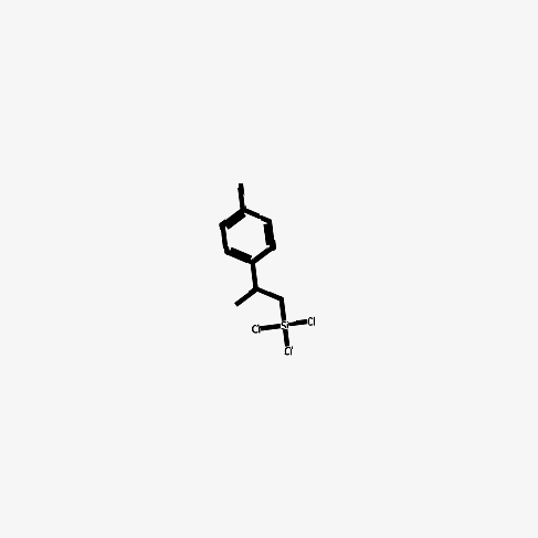 Cc1ccc(C(C)C[Si](Cl)(Cl)Cl)cc1